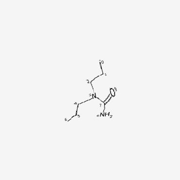 [CH2]CCN(CCC)C(N)=O